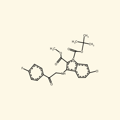 COC(=O)c1c(NCC(=O)c2ccc(F)cc2)c2ccc(Cl)cc2n1C(=O)OC(C)(C)C